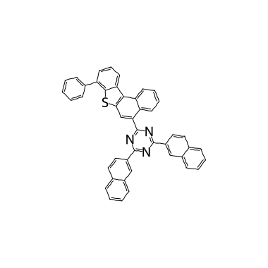 c1ccc(-c2cccc3c2sc2cc(-c4nc(-c5ccc6ccccc6c5)nc(-c5ccc6ccccc6c5)n4)c4ccccc4c23)cc1